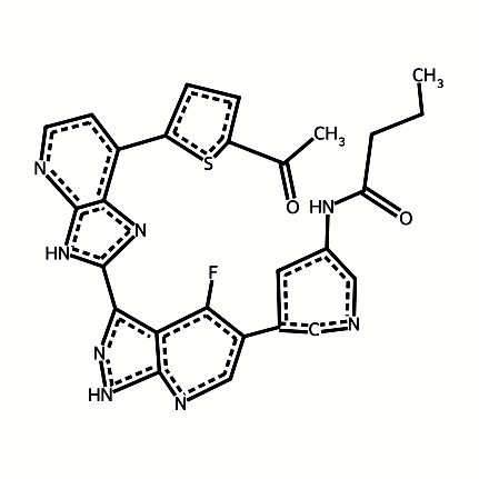 CCCC(=O)Nc1cncc(-c2cnc3[nH]nc(-c4nc5c(-c6ccc(C(C)=O)s6)ccnc5[nH]4)c3c2F)c1